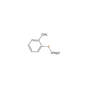 CCCCCCCSc1ccccc1OC(C)=O